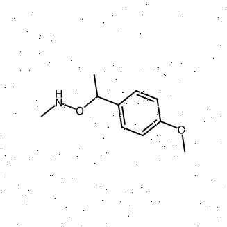 CNOC(C)c1ccc(OC)cc1